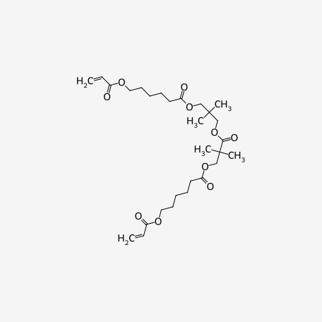 C=CC(=O)OCCCCCC(=O)OCC(C)(C)COC(=O)C(C)(C)COC(=O)CCCCCOC(=O)C=C